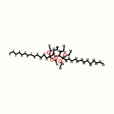 CCCCCCCCCCCCCC(OCC)(OCC)C(CCC)OC(CCC)C(CCCCCCCCCCCCC)(OCC)OCC